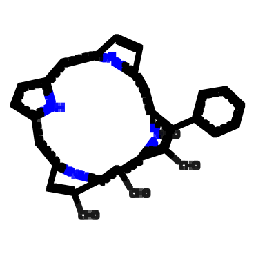 O=CC1=Cc2cc3ccc(cc4nc(cc5c(-c6ccccc6)c(C=O)c(c(C=O)c1n2)n5C=O)C=C4)[nH]3